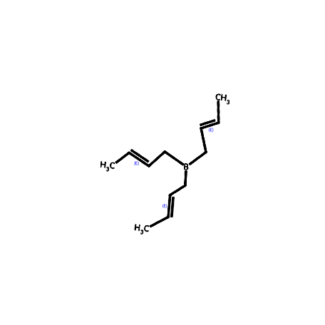 C/C=C/CB(C/C=C/C)C/C=C/C